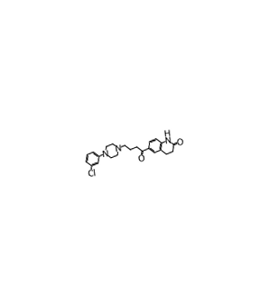 O=C1CCc2cc(C(=O)CCCN3CCN(c4cccc(Cl)c4)CC3)ccc2N1